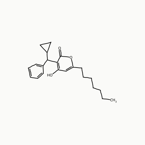 CCCCCCCc1cc(O)c(C(c2ccccc2)C2CC2)c(=O)o1